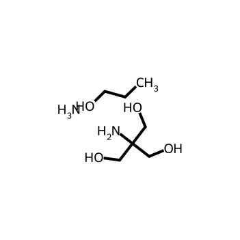 CCCO.N.NC(CO)(CO)CO